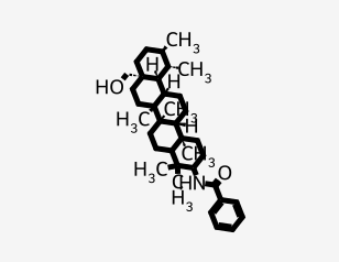 C[C@@H]1[C@H]2[C@H]3CC[C@@H]4[C@@]5(C)CCC(NC(=O)c6ccccc6)C(C)(C)C5CC[C@@]4(C)[C@]3(C)CC[C@@]2(CO)CC[C@H]1C